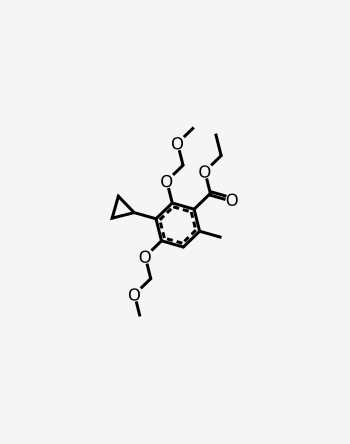 CCOC(=O)c1c(C)cc(OCOC)c(C2CC2)c1OCOC